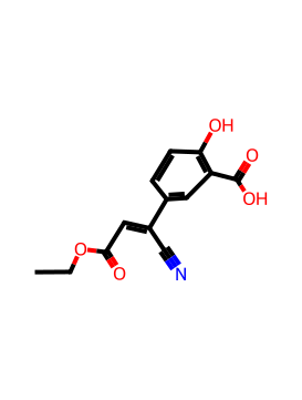 CCOC(=O)C=C(C#N)c1ccc(O)c(C(=O)O)c1